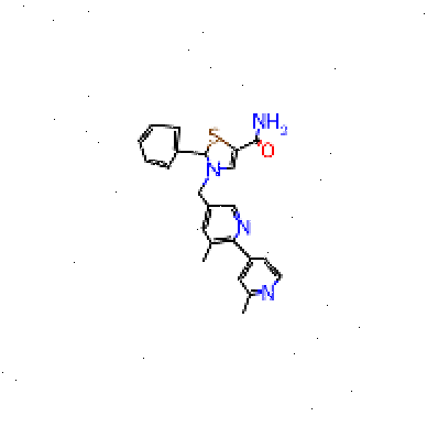 Cc1cc(-c2ncc(CN3C=C(C(N)=O)SC3c3ccccc3)cc2C)ccn1